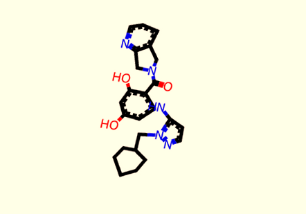 O=C(c1c(O)cc(O)cc1Nc1ccnn1CC1CCCCC1)N1Cc2cccnc2C1